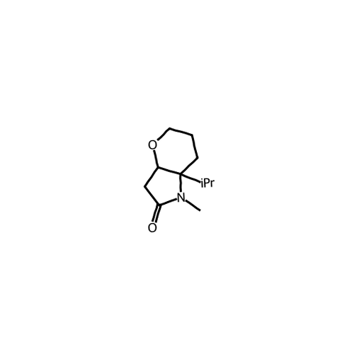 CC(C)C12CCCOC1CC(=O)N2C